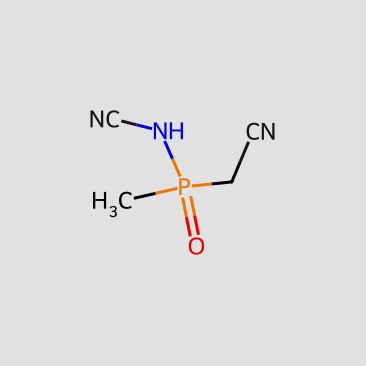 CP(=O)(CC#N)NC#N